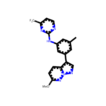 COc1ccc2c(-c3cc(C)cc(Nc4nccc(C(F)(F)F)n4)c3)cnn2n1